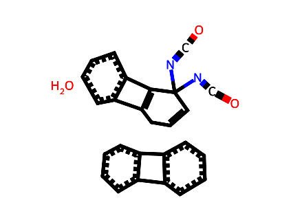 O.O=C=NC1(N=C=O)C=CCC2=C1c1ccccc12.c1ccc2c(c1)-c1ccccc1-2